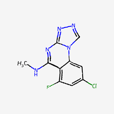 CNc1nc2nncn2c2cc(Cl)cc(F)c12